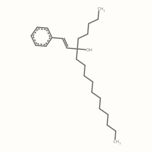 CCCCCCCCCCCC(O)(C=Cc1ccccc1)CCCCC